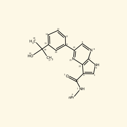 CCCNC(=O)c1c[nH]c2ncc(-c3cccc(C(C)(C)O)c3)nc12